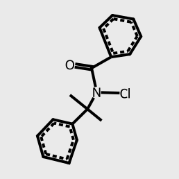 CC(C)(c1ccccc1)N(Cl)C(=O)c1ccccc1